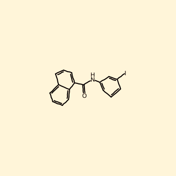 O=C(Nc1cccc(I)c1)c1cccc2ccccc12